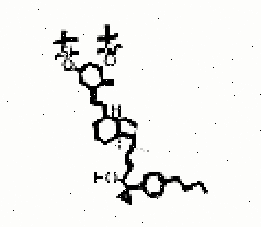 C=C1/C(=C\C=C2/CCC[C@]3(C)[C@@H]([C@H](C)/C=C/[C@H](O)C4(c5ccc(CCCC)cc5)CC4)CC[C@@H]23)C[C@@H](O[Si](C)(C)C(C)(C)C)C[C@@H]1O[Si](C)(C)C(C)(C)C